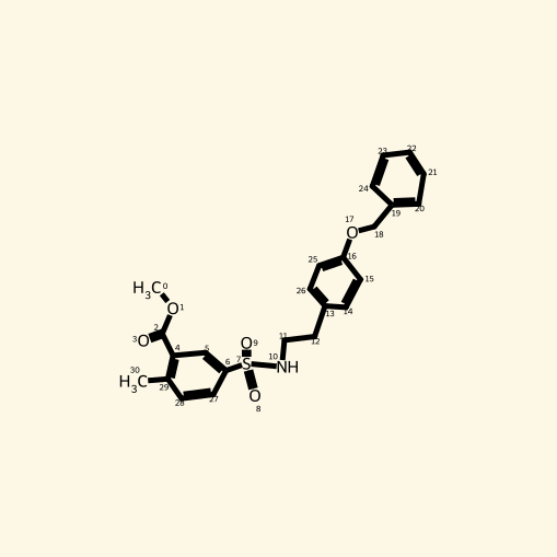 COC(=O)c1cc(S(=O)(=O)NCCc2ccc(OCc3ccccc3)cc2)ccc1C